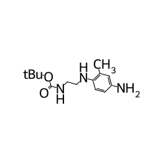 Cc1cc(N)ccc1NCCNC(=O)OC(C)(C)C